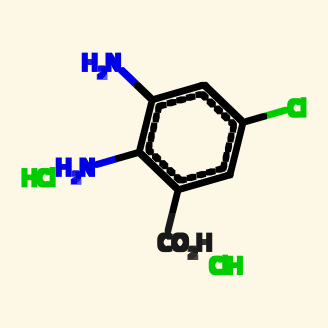 Cl.Cl.Nc1cc(Cl)cc(C(=O)O)c1N